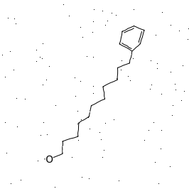 [O]CCCCCCCCCCCc1ccccc1